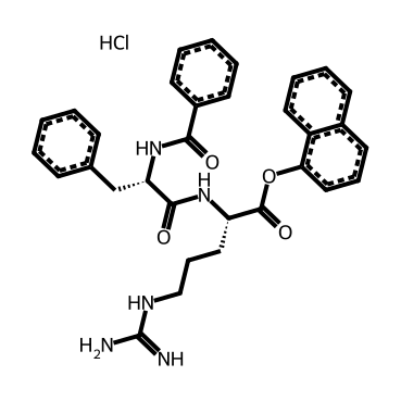 Cl.N=C(N)NCCC[C@H](NC(=O)[C@H](Cc1ccccc1)NC(=O)c1ccccc1)C(=O)Oc1cccc2ccccc12